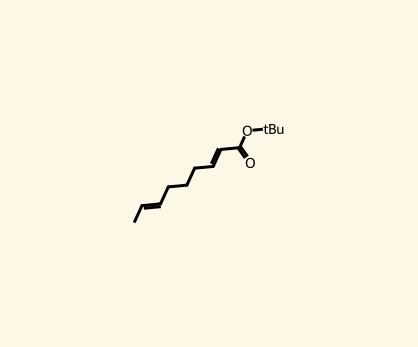 C/C=C/CCC/C=C/C(=O)OC(C)(C)C